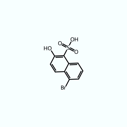 O=S(=O)(O)c1c(O)ccc2c(Br)cccc12